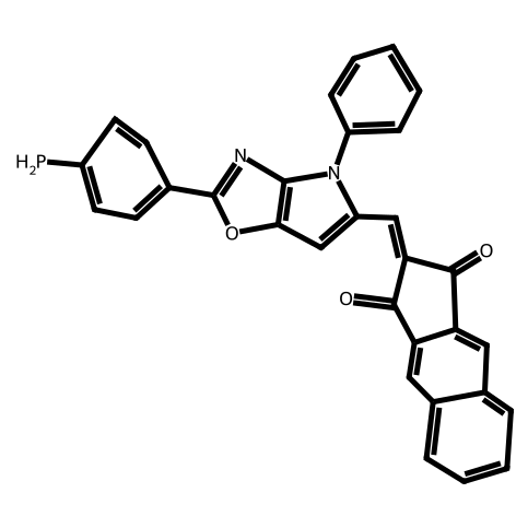 O=C1C(=Cc2cc3oc(-c4ccc(P)cc4)nc3n2-c2ccccc2)C(=O)c2cc3ccccc3cc21